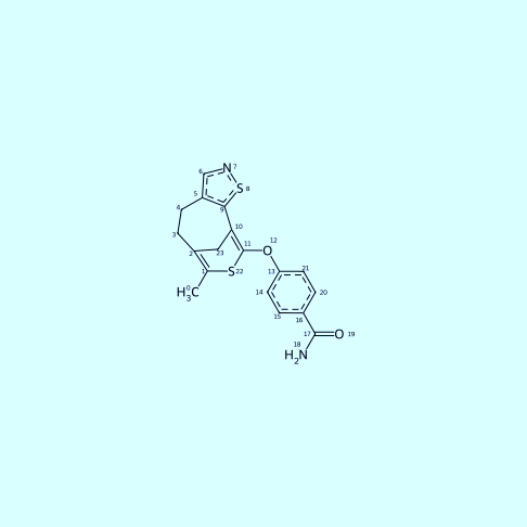 CC1=C2CCc3cnsc3C(=C(Oc3ccc(C(N)=O)cc3)S1)C2